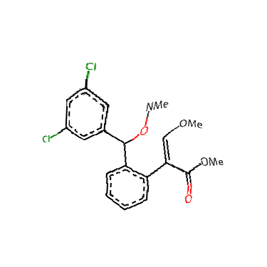 CNOC(c1cc(Cl)cc(Cl)c1)c1ccccc1C(=COC)C(=O)OC